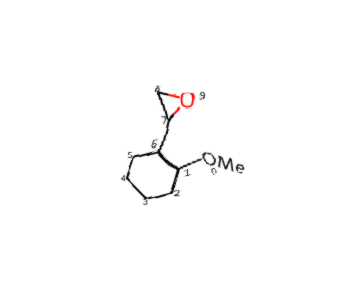 COC1CCCCC1C1CO1